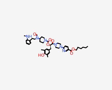 CCCCCCOC(=O)c1ccc(N2CCN(C(=O)[C@@H](Cc3cc(C)c(O)c(C)c3)OC(=O)N3CCC(N(C=O)CCc4ccccc4NC)CC3)CC2)nc1